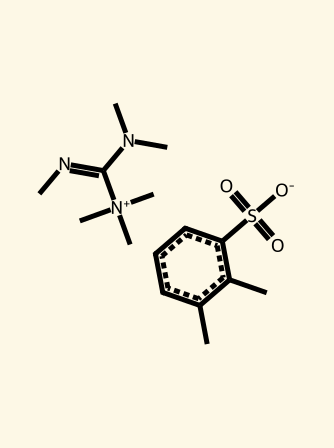 CN=C(N(C)C)[N+](C)(C)C.Cc1cccc(S(=O)(=O)[O-])c1C